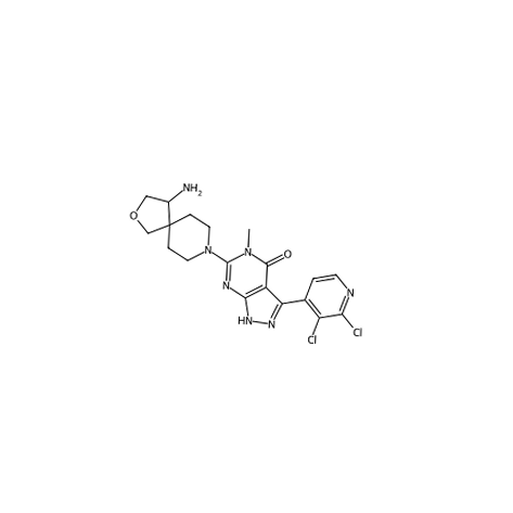 Cn1c(N2CCC3(CC2)COCC3N)nc2[nH]nc(-c3ccnc(Cl)c3Cl)c2c1=O